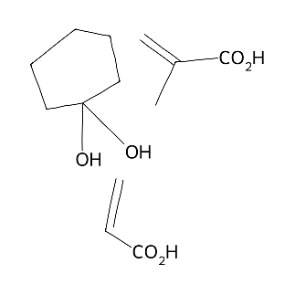 C=C(C)C(=O)O.C=CC(=O)O.OC1(O)CCCCC1